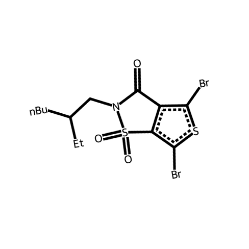 CCCCC(CC)CN1C(=O)c2c(Br)sc(Br)c2S1(=O)=O